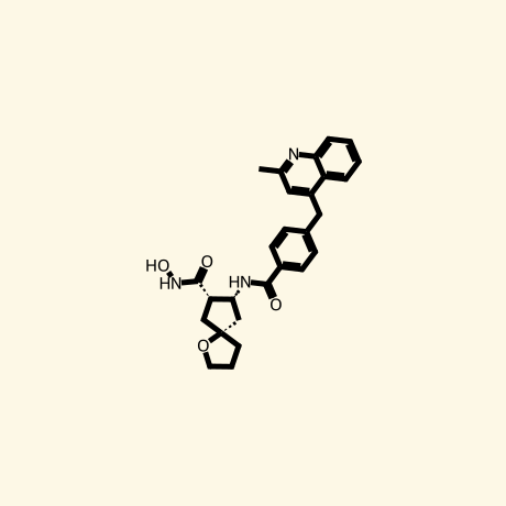 Cc1cc(Cc2ccc(C(=O)N[C@@H]3C[C@@]4(CCCO4)C[C@@H]3C(=O)NO)cc2)c2ccccc2n1